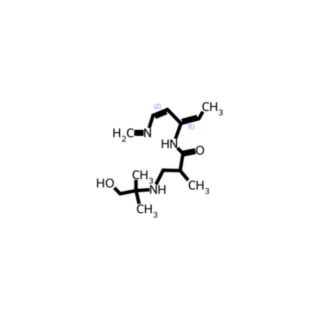 C=N/C=C\C(=C/C)NC(=O)C(C)CNC(C)(C)CO